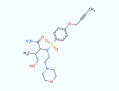 CC#CCOc1ccc(S(=O)(=O)N(CCN2CCOCC2)C(C(N)=O)C(C)CO)cc1